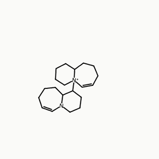 C1=CN2CCCC([N+]34C=CCCCC3CCCC4)C2CCC1